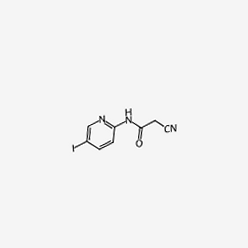 N#CCC(=O)Nc1ccc(I)cn1